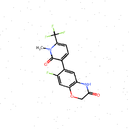 Cn1c(C(F)(F)F)ccc(-c2cc3c(cc2F)OCC(=O)N3)c1=O